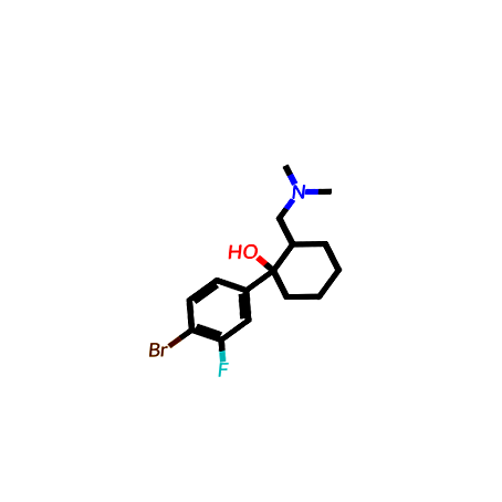 CN(C)CC1CCCCC1(O)c1ccc(Br)c(F)c1